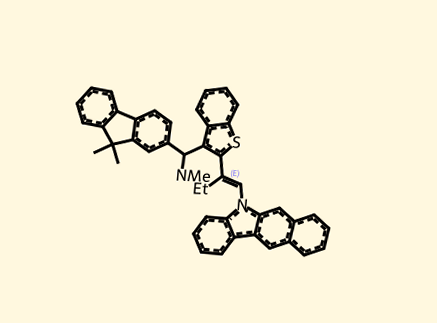 CC/C(=C\n1c2ccccc2c2cc3ccccc3cc21)c1sc2ccccc2c1C(NC)c1ccc2c(c1)C(C)(C)c1ccccc1-2